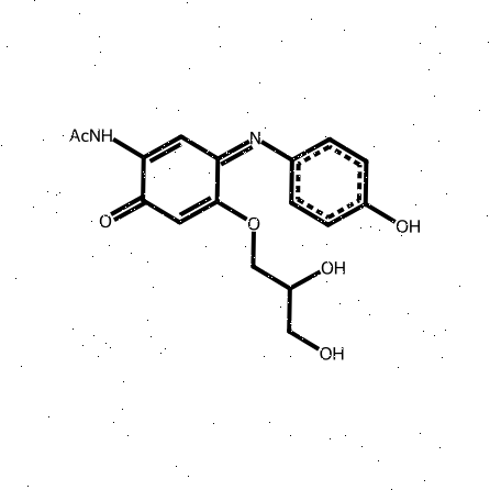 CC(=O)NC1=CC(=Nc2ccc(O)cc2)C(OCC(O)CO)=CC1=O